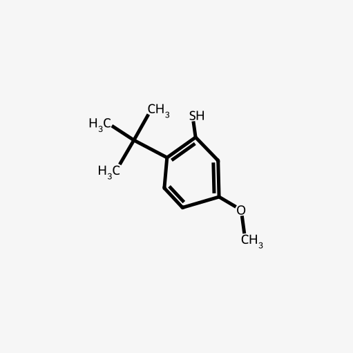 COc1ccc(C(C)(C)C)c(S)c1